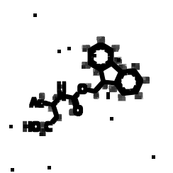 CC(=O)[C@H](CC(=O)O)NC(=O)OCC1c2ccccc2-c2ccccc21